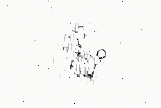 CCSSc1ccccc1OC(=O)CNC(=O)[C@@H](NC(=O)[C@@H](NC(=O)[C@H](CC(C)C)NC(=O)[C@H](CC(C)=O)NC(=O)[C@H](CCC(C)=O)NC(=O)[C@H](C)NC(C)=O)C(C)C)C(C)C